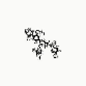 Cc1cc(-n2cc(CNC(=O)c3ccc(Cl)s3)nc2CN2CCNC2=O)ccc1N1CCOCC1=O